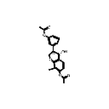 CC(=O)Oc1cccc([C@@H]2COc3c(ccc(OC(C)=O)c3C)[C@H]2O)c1